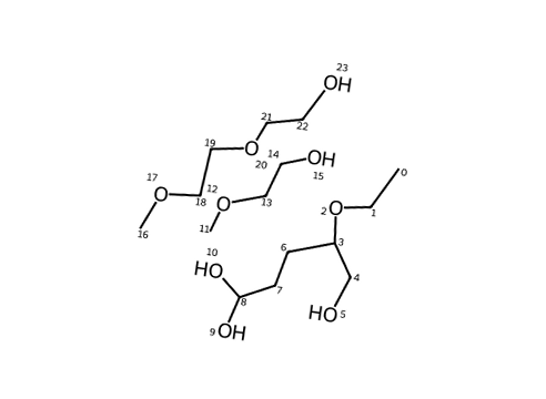 CCOC(CO)CCC(O)O.COCCO.COCCOCCO